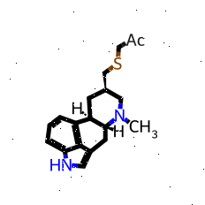 CC(=O)CSC[C@@H]1C[C@@H]2c3cccc4[nH]cc(c34)C[C@H]2N(C)C1